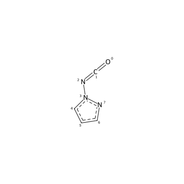 O=C=Nn1cccn1